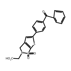 O=C(O)CN1Cc2cc(-c3ccc(C(=O)c4ccccc4)cc3)sc2S1(=O)=O